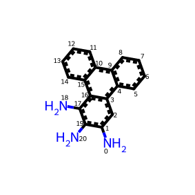 Nc1cc2c3ccccc3c3ccccc3c2c(N)c1N